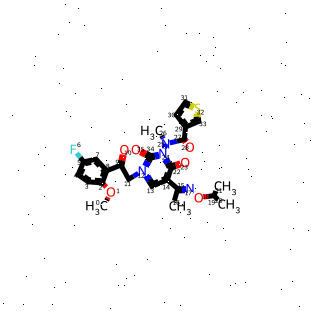 COc1ccc(F)cc1C(=O)Cn1cc(/C(C)=N/OC(C)C)c(=O)n(N(C)C(=O)c2ccsc2)c1=O